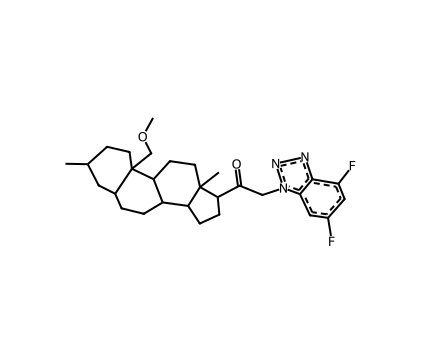 COCC12CCC(C)CC1CCC1C3CCC(C(=O)Cn4nnc5c(F)cc(F)cc54)C3(C)CCC12